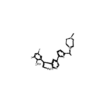 COc1c(F)cc(F)cc1C1CNc2ncc(-c3ccc(C(C)N4CCN(C)CC4)s3)cc21